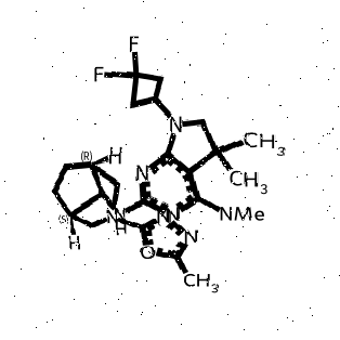 CNc1nc(NC2[C@@H]3CC[C@H]2CN(c2nnc(C)o2)C3)nc2c1C(C)(C)CN2C1CC(F)(F)C1